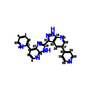 c1ccc(-c2ccnc3[nH]c(-c4n[nH]c5ncc(-c6ccncc6)cc45)nc23)nc1